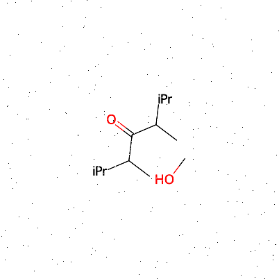 CC(C)C(C)C(=O)C(C)C(C)C.CO